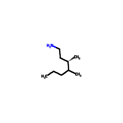 CCCC(C)[C@@H](C)CCN